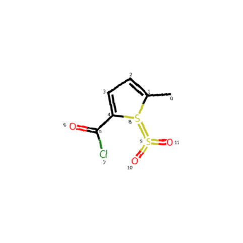 CC1=CC=C(C(=O)Cl)S1=S(=O)=O